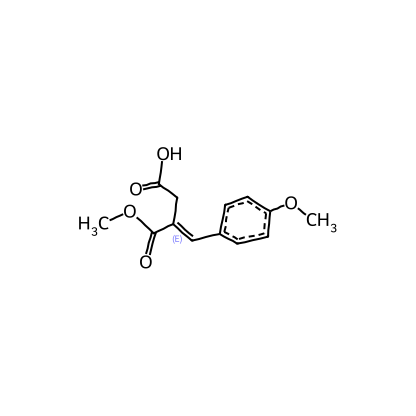 COC(=O)/C(=C/c1ccc(OC)cc1)CC(=O)O